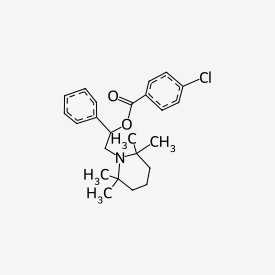 CC1(C)CCCC(C)(C)N1CC(OC(=O)c1ccc(Cl)cc1)c1ccccc1